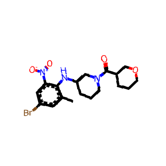 Cc1cc(Br)cc([N+](=O)[O-])c1NC1CCCN(C(=O)C2CCCOC2)C1